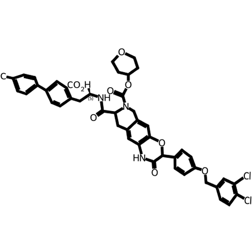 N#Cc1ccc(-c2ccc(C[C@H](NC(=O)C3Cc4cc5c(cc4CN3C(=O)OC3CCOCC3)OC(c3ccc(OCc4ccc(Cl)c(Cl)c4)cc3)C(=O)N5)C(=O)O)cc2)cc1